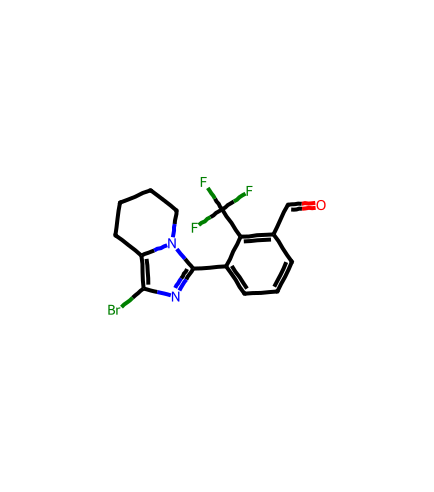 O=Cc1cccc(-c2nc(Br)c3n2CCCC3)c1C(F)(F)F